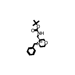 CC(C)(C)OC(=O)NC[C@H]1COCCN1Cc1ccccc1